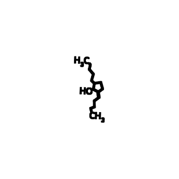 CCCCC=C1CCC(CCCCC)C1O